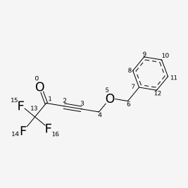 O=C(C#CCOCc1ccccc1)C(F)(F)F